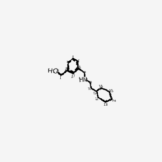 OCc1cccc(CNCCC2CCCCC2)c1